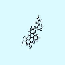 C=CC(=O)N[C@H]1CCOC[C@H]1Nc1ncc2nc(-c3c(Cl)c(OC)cc(OC)c3Cl)c3ncccc3c2n1